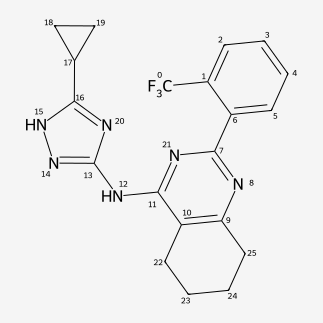 FC(F)(F)c1ccccc1-c1nc2c(c(Nc3n[nH]c(C4CC4)n3)n1)CCCC2